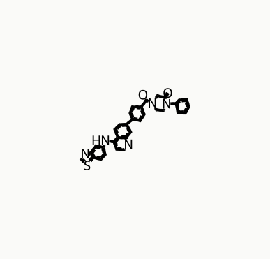 O=C(c1ccc(-c2ccc3c(Nc4ccc5scnc5c4)ccnc3c2)cc1)N1CCN(c2ccccc2)C(=O)C1